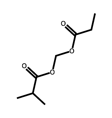 CCC(=O)OCOC(=O)C(C)C